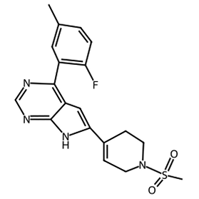 Cc1ccc(F)c(-c2ncnc3[nH]c(C4=CCN(S(C)(=O)=O)CC4)cc23)c1